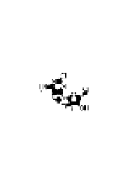 C[C@@]1(Cl)[C@H](O)[C@@H](CO)O[C@H]1n1cnc2c(N)nc(Cl)nc21